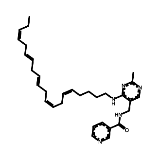 CC/C=C\CC=CCC=CC/C=C\C/C=C\CCCCNc1nc(C)ncc1CNC(=O)c1cccnc1